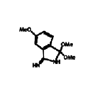 COc1ccc2c(c1)C(=N)NC2(OC)OC